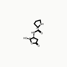 O=C1C[C@H](NC(=O)[C@@H]2CCCN2)[C@H](O)O1